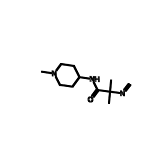 C=NC(C)(C)C(=O)NC1CCN(C)CC1